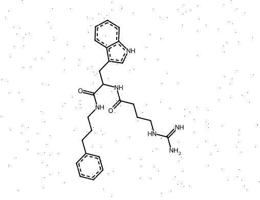 N=C(N)NCCCC(=O)NC(Cc1c[nH]c2ccccc12)C(=O)NCCCc1ccccc1